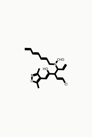 C=CC=CC=CCN(C=O)C(C=C)C(C=CCl)C(O)=Cc1c(C)noc1C